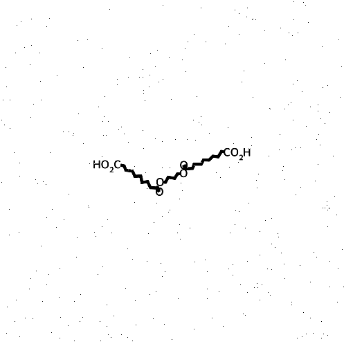 O=C(O)CCCCCCCCC(=O)OCCCCOC(=O)CCCCCCCCC(=O)O